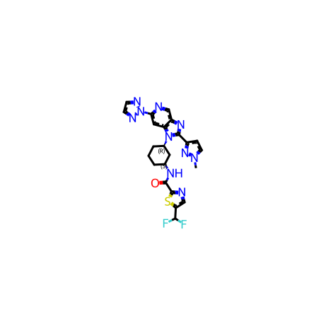 Cn1ccc(-c2nc3cnc(-n4nccn4)cc3n2[C@@H]2CCC[C@H](NC(=O)c3ncc(C(F)F)s3)C2)n1